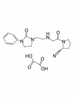 N#C[C@@H]1CCCN1C(=O)CNCCN1CCN(c2ccccc2)C1=O.O=C(O)C(=O)O